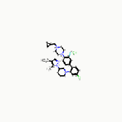 Cl.O=C(O)c1cnn(C2CCCN(c3cc(Cl)ccc3-c3ccc(N4CCN(CC5CC5)CC4)c(F)c3)C2)c1C(F)(F)F